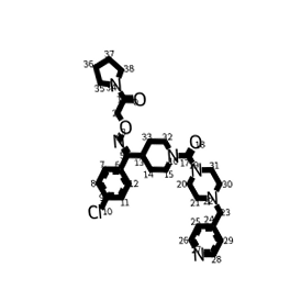 O=C(CON=C(c1ccc(Cl)cc1)C1CCN(C(=O)N2CCN(Cc3ccncc3)CC2)CC1)N1CCCC1